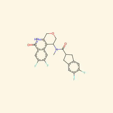 CN(C(=O)C1Cc2cc(F)c(F)cc2C1)C1COCc2[nH]c(=O)c3cc(F)c(F)cc3c21